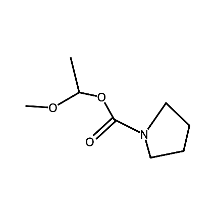 COC(C)OC(=O)N1CCCC1